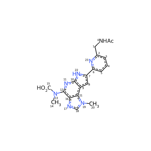 CC(=O)NCc1cccc(-c2cc3c(nc(N(C)C(=O)O)c4ncn(C)c43)[nH]2)n1